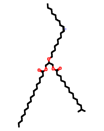 CCCCCCCC/C=C\CCCCCCCCOC(COC(=O)CCCCCCCCCCCCCCCCC)COC(=O)CCCCCCCCCCCCC(C)C